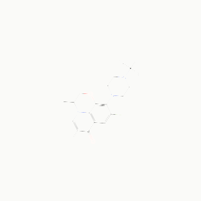 [2H]C([2H])([2H])N1CCN(c2c(F)cc3c(=O)c(C(=O)O)cn4c3c2OCC4C)CC1